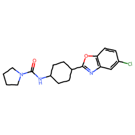 O=C(NC1CCC(c2nc3cc(Cl)ccc3o2)CC1)N1CCCC1